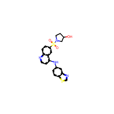 O=S(=O)(c1ccc2nccc(Nc3ccc4scnc4c3)c2c1)N1CCC(O)C1